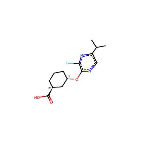 CC(C)c1cnc(O[C@H]2CCC[C@H](C(=O)O)C2)c(F)n1